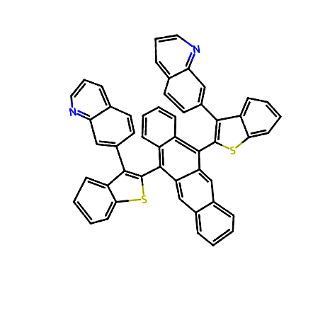 c1ccc2cc3c(-c4sc5ccccc5c4-c4ccc5cccnc5c4)c4ccccc4c(-c4sc5ccccc5c4-c4ccc5cccnc5c4)c3cc2c1